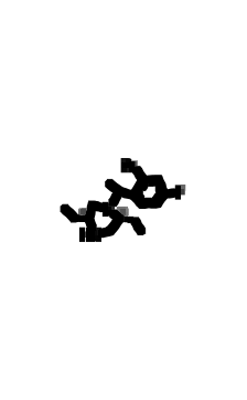 CC[C@H]1CN(C(C)c2ccc(F)cc2Br)[C@H](CC)CN1